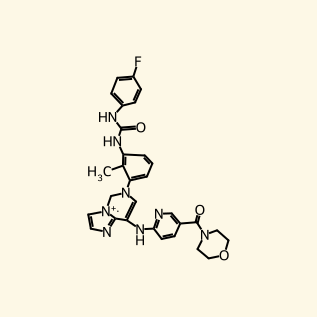 Cc1c(NC(=O)Nc2ccc(F)cc2)cccc1N1C=C(Nc2ccc(C(=O)N3CCOCC3)cn2)C2=NC=C[N+]2C1